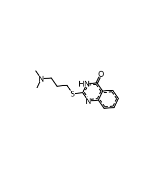 CN(C)CCCSc1nc2ccccc2c(=O)[nH]1